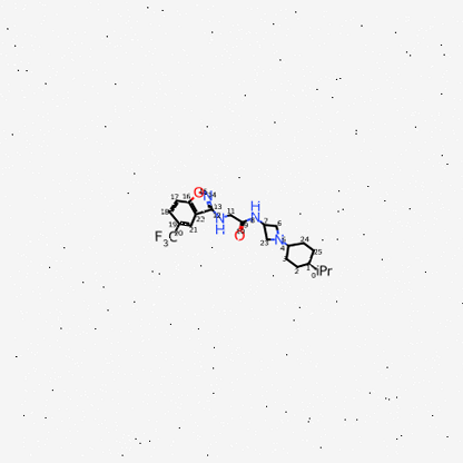 CC(C)[C@H]1CC[C@@H](N2CC(NC(=O)CNc3noc4ccc(C(F)(F)F)cc34)C2)CC1